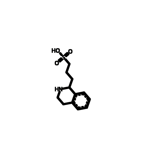 O=S(=O)(O)CCCC1NCCc2ccccc21